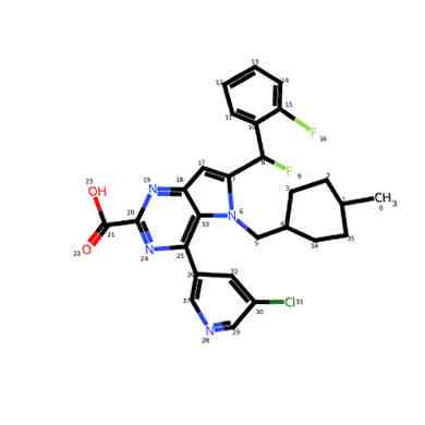 CC1CCC(Cn2c(C(F)c3ccccc3F)cc3nc(C(=O)O)nc(-c4cncc(Cl)c4)c32)CC1